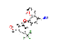 COc1cc(C#N)ccc1Oc1cc(C=O)cc(C(F)(F)F)c1